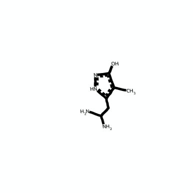 Cc1c(O)n[nH]c1CC(N)N